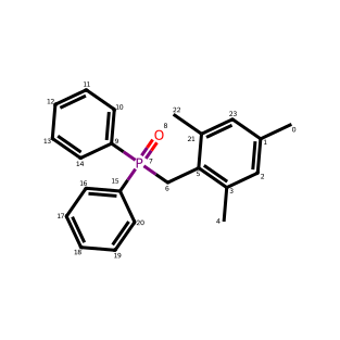 Cc1cc(C)c(CP(=O)(c2ccccc2)c2ccccc2)c(C)c1